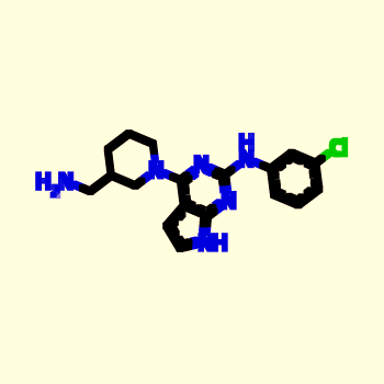 NCC1CCCN(c2nc(Nc3cccc(Cl)c3)nc3[nH]ccc23)C1